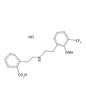 COc1c(CCNCCc2ccccc2C(=O)O)cccc1C(F)(F)F.Cl